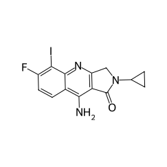 Nc1c2c(nc3c(I)c(F)ccc13)CN(C1CC1)C2=O